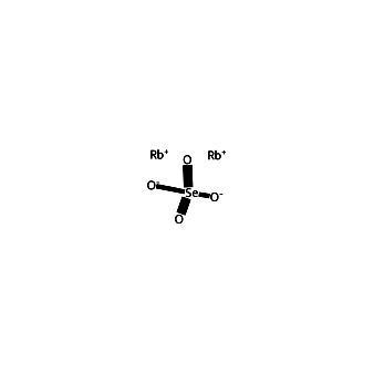 O=[Se](=O)([O-])[O-].[Rb+].[Rb+]